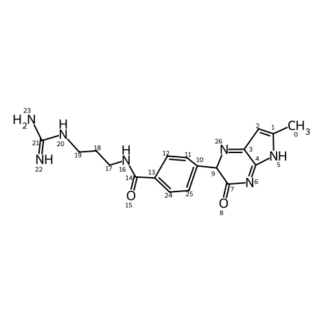 Cc1cc2c([nH]1)=NC(=O)C(c1ccc(C(=O)NCCCNC(=N)N)cc1)N=2